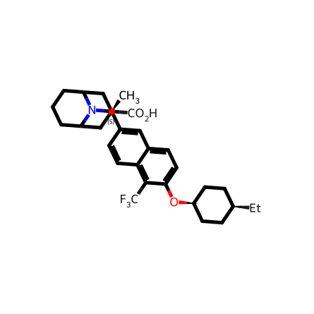 CC[C@H]1CC[C@@H](Oc2ccc3cc([C@H](C)N4C5CCCC4CC(C(=O)O)C5)ccc3c2C(F)(F)F)CC1